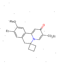 CCOC(=O)c1cn2c(cc1=O)-c1cc(OC)c(CC)cc1CC21CCC1